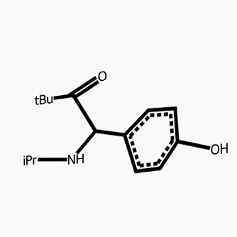 CC(C)NC(C(=O)C(C)(C)C)c1ccc(O)cc1